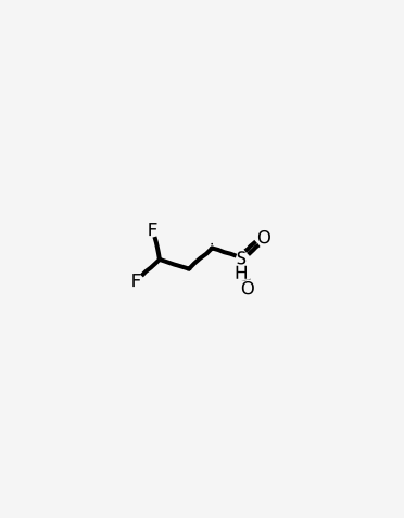 O=[SH](=O)[CH]CC(F)F